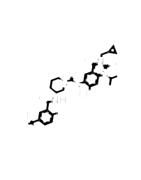 CC(C)n1c(=O)n(CC2CC2)c(=O)c2cc(NC(=O)N3CCC[C@@H](NC(=O)c4cc(C(F)(F)F)ccc4F)C3)c(F)cc21